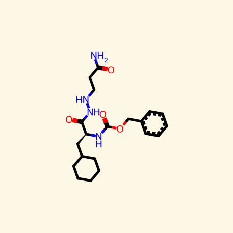 NC(=O)CCNNC(=O)[C@H](CC1CCCCC1)NC(=O)OCc1ccccc1